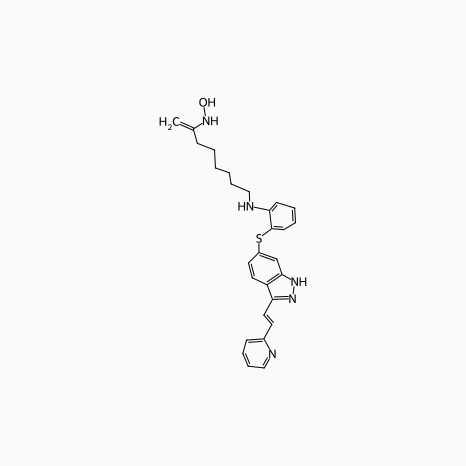 C=C(CCCCCCNc1ccccc1Sc1ccc2c(/C=C/c3ccccn3)n[nH]c2c1)NO